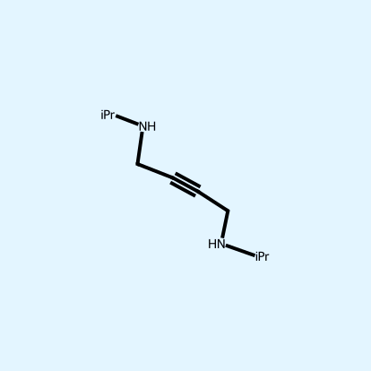 CC(C)NCC#CCNC(C)C